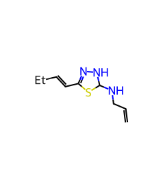 C=CCNC1NN=C(/C=C/CC)S1